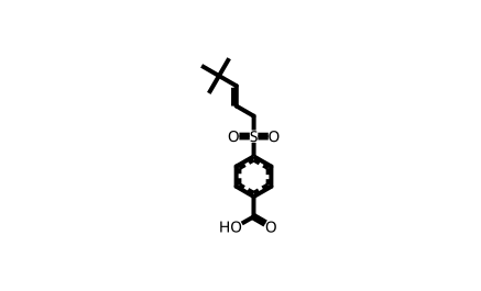 CC(C)(C)C=CCS(=O)(=O)c1ccc(C(=O)O)cc1